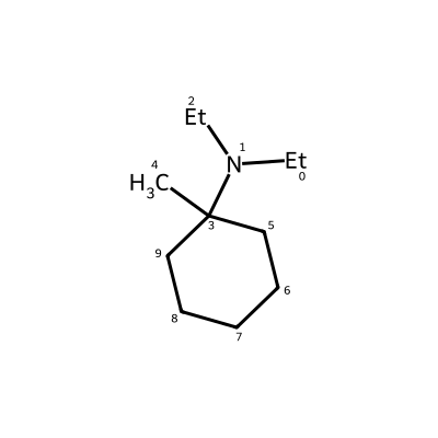 CCN(CC)C1(C)CCCCC1